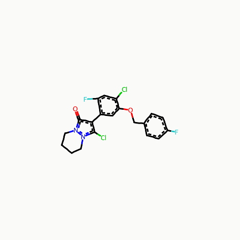 O=c1c(-c2cc(OCc3ccc(F)cc3)c(Cl)cc2F)c(Cl)n2n1CCCC2